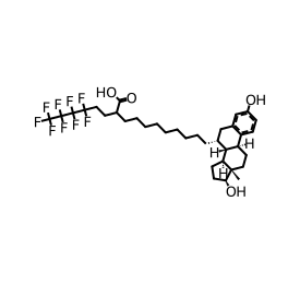 C[C@]12CC[C@@H]3c4ccc(O)cc4C[C@@H](CCCCCCCCCC(CCC(F)(F)C(F)(F)C(F)(F)C(F)(F)F)C(=O)O)[C@H]3[C@@H]1CC[C@@H]2O